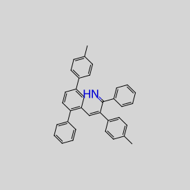 Cc1ccc(/C(=C/c2cc(-c3ccc(C)cc3)ccc2-c2ccccc2)C(=N)c2ccccc2)cc1